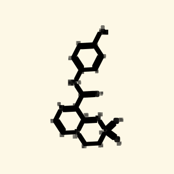 CCC(C)c1ccc(NC(=O)C2=NC=CN3CCS(=O)(=O)N=C23)cc1